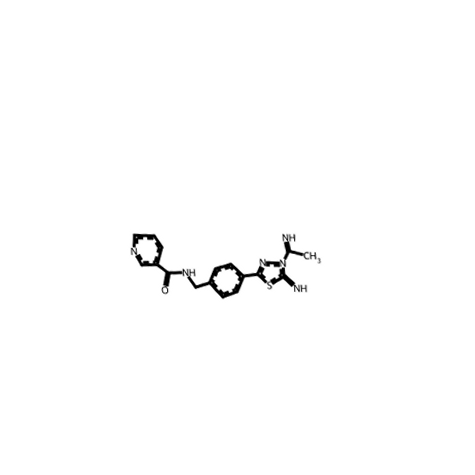 CC(=N)n1nc(-c2ccc(CNC(=O)c3cccnc3)cc2)sc1=N